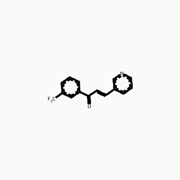 O=C(C=Cc1cccnc1)c1cccc(C(F)(F)F)c1